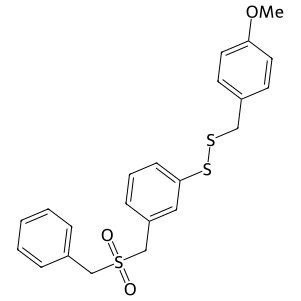 COc1ccc(CSSc2cccc(CS(=O)(=O)Cc3ccccc3)c2)cc1